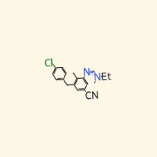 CCN(C)/C=N\c1cc(C#N)cc(Cc2ccc(Cl)cc2)c1C